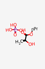 C=C(O)C(=O)OCCC.O=P(O)(O)O